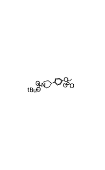 CC(C)(C)OC(=O)N1CCC(c2ccc(OS(C)(=O)=O)cc2)CC1